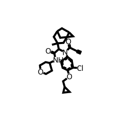 C#CC(=O)N(c1ccc(OCC2CC2)c(Cl)c1)C(C(=O)NC1CCOCC1)C1(C)CC2CC3CC3(C2)C1